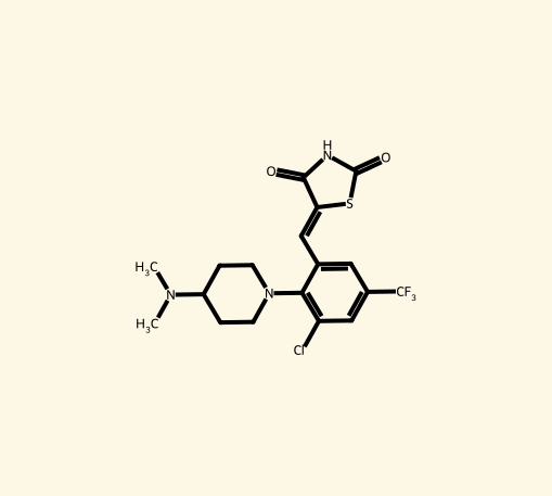 CN(C)C1CCN(c2c(Cl)cc(C(F)(F)F)cc2/C=C2\SC(=O)NC2=O)CC1